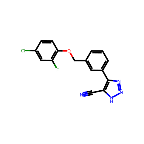 N#Cc1[nH]nnc1-c1cccc(COc2ccc(Cl)cc2F)c1